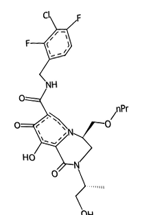 CCCOC[C@H]1CN([C@H](C)CO)C(=O)c2c(O)c(=O)c(C(=O)NCc3ccc(F)c(Cl)c3F)cn21